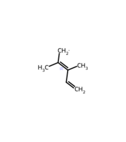 [CH2]/C(C)=C(\C)C=C